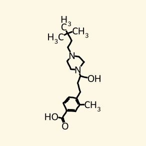 Cc1cc(C(=O)O)ccc1CCC(O)N1CCN(CCC(C)(C)C)CC1